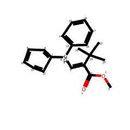 COC(=O)C(=C[SiH](c1ccccc1)c1ccccc1)C(C)(C)C